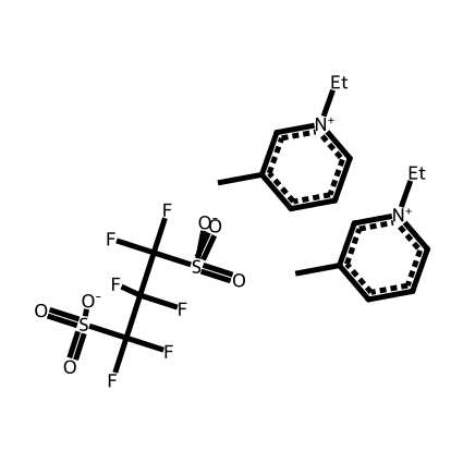 CC[n+]1cccc(C)c1.CC[n+]1cccc(C)c1.O=S(=O)([O-])C(F)(F)C(F)(F)C(F)(F)S(=O)(=O)[O-]